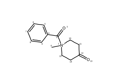 C[N+]1(C(=O)c2ccccc2)CCC(=O)CC1